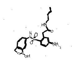 CCCCNC(=O)Cc1cc(N)ccc1S(=O)(=O)Nc1ccc2c(c1)B(O)OC2